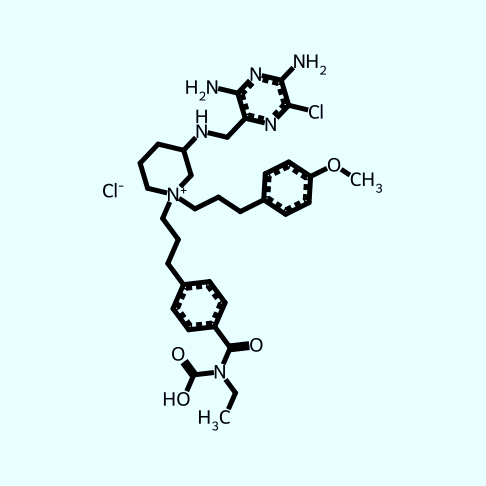 CCN(C(=O)O)C(=O)c1ccc(CCC[N+]2(CCCc3ccc(OC)cc3)CCCC(NCc3nc(Cl)c(N)nc3N)C2)cc1.[Cl-]